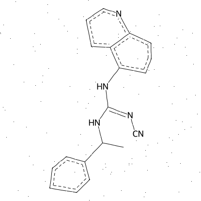 CC(NC(=NC#N)Nc1cccc2ncccc12)c1ccccc1